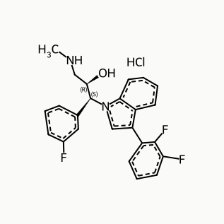 CNC[C@@H](O)[C@H](c1cccc(F)c1)n1cc(-c2cccc(F)c2F)c2ccccc21.Cl